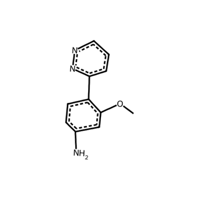 COc1cc(N)ccc1-c1cccnn1